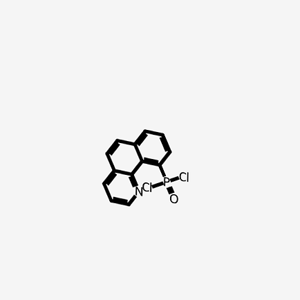 O=P(Cl)(Cl)c1cccc2ccc3cccnc3c12